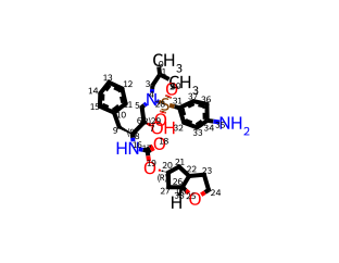 CC(C)CN(C[C@@H](O)[C@H](Cc1ccccc1)NC(=O)O[C@@H]1CC2CCO[C@@H]2C1)S(=O)(=O)c1ccc(N)cc1